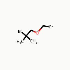 CCC(C)(C)COCC(C)C